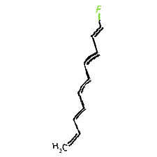 C=C/C=C/C=C/C=C/C=C/F